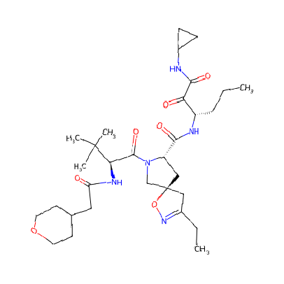 CCC[C@H](NC(=O)[C@@H]1C[C@]2(CC(CC)=NO2)CN1C(=O)[C@@H](NC(=O)CC1CCOCC1)C(C)(C)C)C(=O)C(=O)NC1CC1